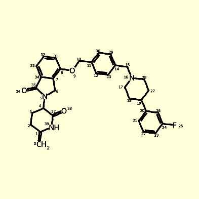 C=C1CCC(N2Cc3c(OCc4ccc(CN5CCC(c6cccc(F)c6)CC5)cc4)cccc3C2=O)C(=O)N1